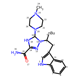 CCCCC(Cc1c[nH]c2ccccc12)N1N=C(C(N)=O)NC1N1CCN(C)CC1